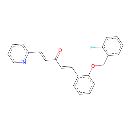 O=C(C=Cc1ccccn1)C=Cc1ccccc1OCc1ccccc1F